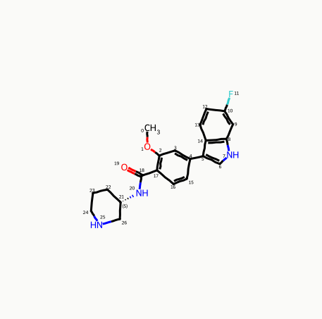 COc1cc(-c2c[nH]c3cc(F)ccc23)ccc1C(=O)N[C@H]1CCCNC1